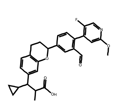 COc1cc(-c2ccc(C3CCc4ccc(C(C5CC5)C(C)C(=O)O)cc4O3)cc2C=O)c(F)cn1